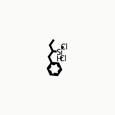 CCC(Cc1ccccc1)[SiH](Cl)Cl